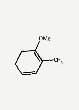 COC1=C(C)C=CCC1